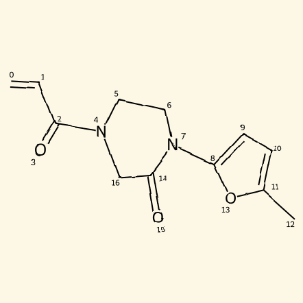 C=CC(=O)N1CCN(c2ccc(C)o2)C(=O)C1